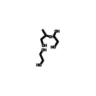 CC(O)CO.OCCO.OCCO